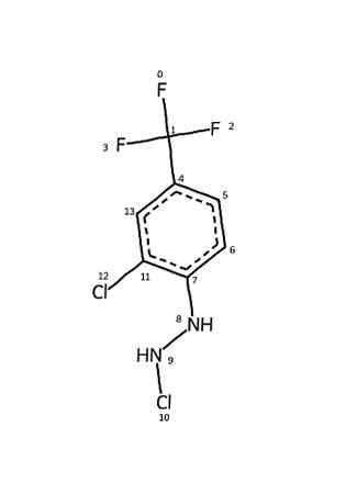 FC(F)(F)c1ccc(NNCl)c(Cl)c1